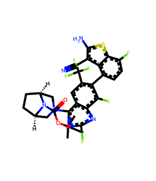 CC(C)(C)OC(=O)N1[C@@H]2CC[C@H]1CN(c1nc(F)nc3c(F)c(-c4ccc(F)c5sc(N)c(C#N)c45)c(C(F)(F)F)cc13)C2